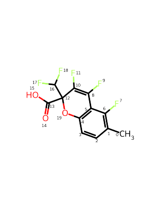 Cc1ccc2c(c1F)C(F)=C(F)C(C(=O)O)(C(F)F)O2